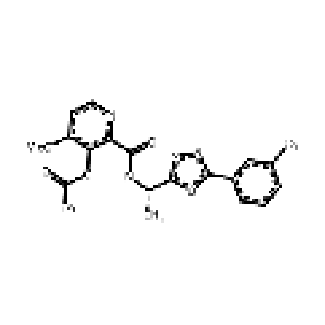 COc1ccnc(C(=O)N[C@@H](C)c2nnc(-c3cccc(C(C)C)c3)o2)c1OC(=O)C(C)C